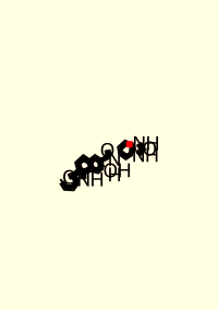 C/C=C\C(=C/c1c[nH]c(=O)[nH]1)NC(=O)c1cc2ccc3c4ccccc4[nH]c3c2cc1O